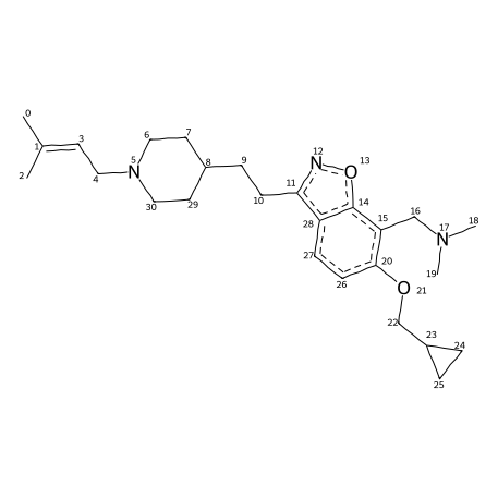 CC(C)=CCN1CCC(CCc2noc3c(CN(C)C)c(OCC4CC4)ccc23)CC1